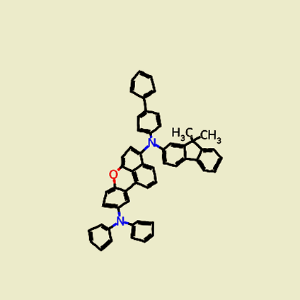 CC1(C)c2ccccc2-c2ccc(N(c3ccc(-c4ccccc4)cc3)c3ccc4c5c(cccc35)-c3cc(N(c5ccccc5)c5ccccc5)ccc3O4)cc21